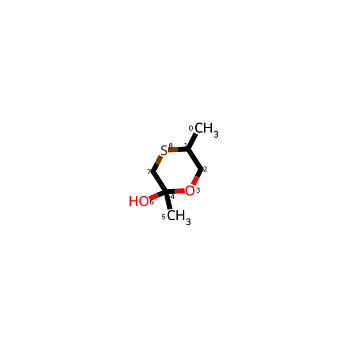 CC1COC(C)(O)CS1